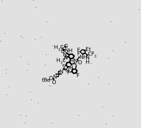 CC[C@H]1CC(F)(F)C(NCC(=O)N[C@@H](Cc2cc(F)cc(F)c2)c2nc3nc(N4CC5(CN(C(=O)OC(C)(C)C)C5)C4)sc3cc2-c2cccc3c(NS(C)(=O)=O)nn(C)c23)=C1C(=N)C(F)(F)F